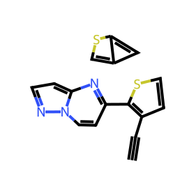 C#Cc1ccsc1-c1ccn2nccc2n1.c1sc2cc1-2